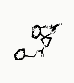 O=C1Nc2cnccc2C2(CCN(C(=O)OCc3ccccc3)C2)O1